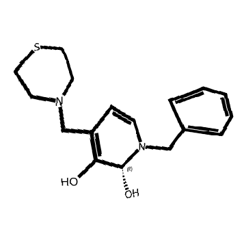 OC1=C(CN2CCSCC2)C=CN(Cc2ccccc2)[C@@H]1O